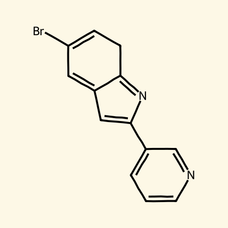 BrC1=CCC2=NC(c3cccnc3)=CC2=C1